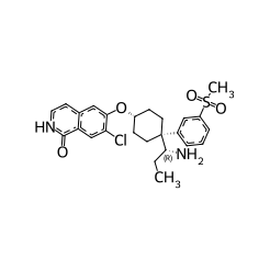 CC[C@@H](N)[C@]1(c2cccc(S(C)(=O)=O)c2)CC[C@@H](Oc2cc3cc[nH]c(=O)c3cc2Cl)CC1